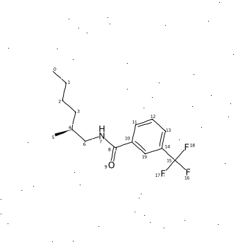 CCCC[C@H](C)CNC(=O)c1cccc(C(F)(F)F)c1